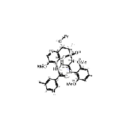 COc1cnc([C@H](OC(C)C)[C@H](C)S(=O)(=O)N/C(=N\c2c(OC)cccc2OC)NNC(=O)c2cncc(C)c2)cn1